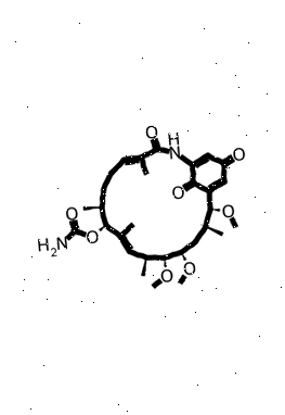 CO[C@H]1[C@@H](OC)C[C@H](C)[C@@H](OC)C2=CC(=O)C=C(NC(=O)/C(C)=C/CC[C@H](C)[C@@H](OC(N)=O)/C(C)=C/[C@@H]1C)C2=O